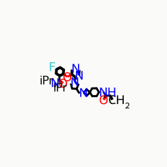 C=CC(=O)NC1CCC2(CC1)CN(CC1CCN(c3ncncc3Oc3ccc(F)cc3C(=O)N(C(C)C)C(C)C)C1)C2